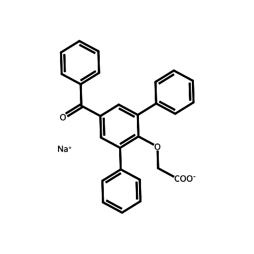 O=C([O-])COc1c(-c2ccccc2)cc(C(=O)c2ccccc2)cc1-c1ccccc1.[Na+]